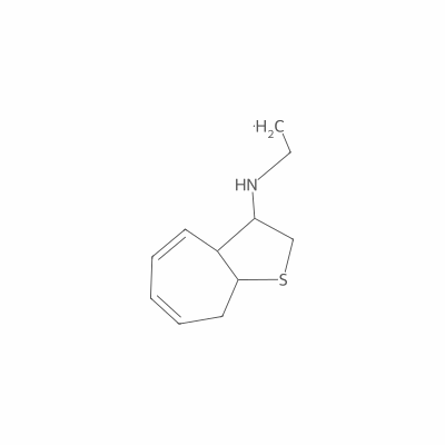 [CH2]CNC1CSC2CC=CC=CC12